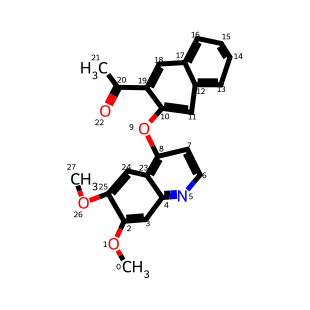 COc1cc2nccc(Oc3cc4ccccc4cc3C(C)=O)c2cc1OC